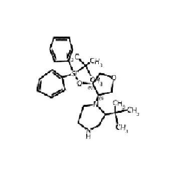 CC(C)(C)C1CNCCN1[C@@H]1COC[C@@H]1O[Si](c1ccccc1)(c1ccccc1)C(C)(C)C